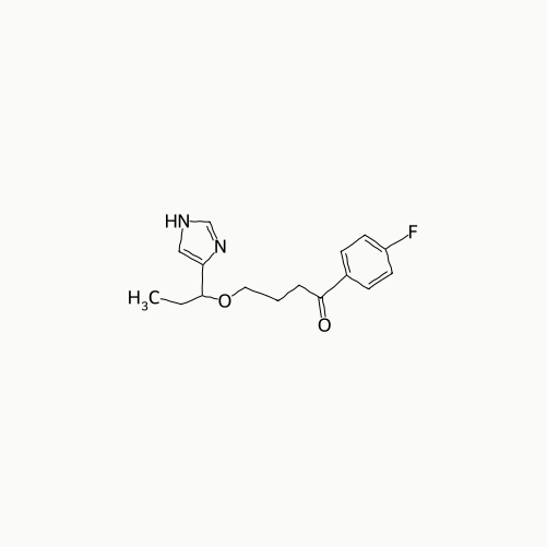 CCC(OCCCC(=O)c1ccc(F)cc1)c1c[nH]cn1